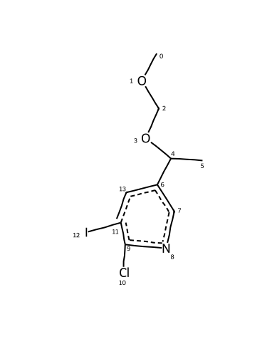 COCOC(C)c1cnc(Cl)c(I)c1